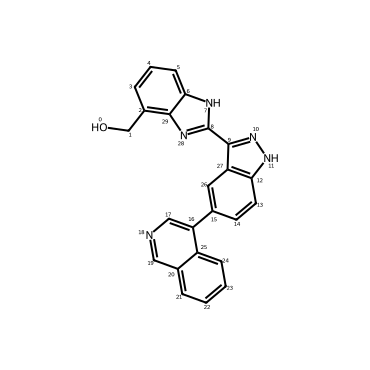 OCc1cccc2[nH]c(-c3n[nH]c4ccc(-c5cncc6ccccc56)cc34)nc12